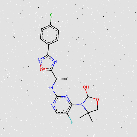 C[C@H](Nc1ncc(F)c(N2C(O)OCC2(C)C)n1)c1nc(-c2ccc(Cl)cc2)no1